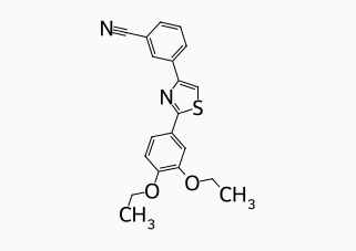 CCOc1ccc(-c2nc(-c3cccc(C#N)c3)cs2)cc1OCC